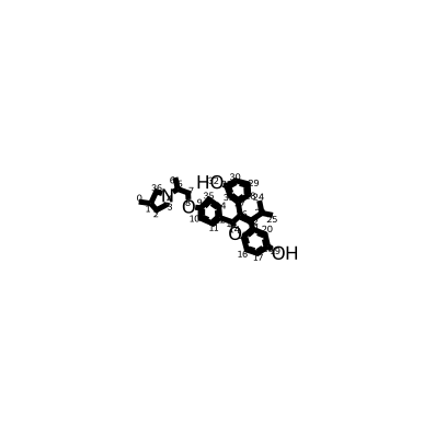 CC1CCN(C(C)COc2ccc(C3Oc4ccc(O)cc4C(C(C)C)=C3c3cccc(O)c3)cc2)C1